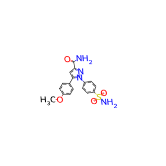 COc1ccc(-c2cc(C(N)=O)nn2-c2ccc(S(N)(=O)=O)cc2)cc1